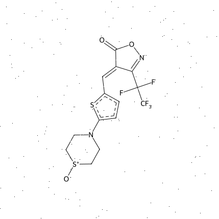 O=C1ON=C(C(F)(F)C(F)(F)F)/C1=C\c1ccc(N2CC[S+]([O-])CC2)s1